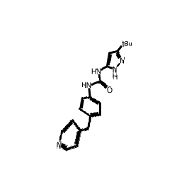 CC(C)(C)c1cc(NC(=O)Nc2ccc(Cc3ccncc3)cc2)[nH]n1